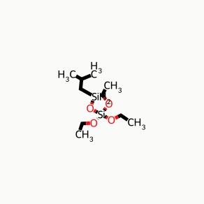 CCO[Si](OCC)(OCC)O[SiH2]CC(C)C